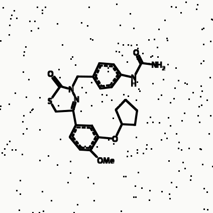 COc1ccc(C2=NN(Cc3ccc(NC(N)=O)cc3)C(=O)SC2)cc1OC1CCCC1